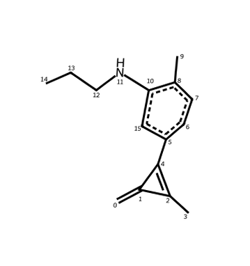 C=C1C(C)=C1c1ccc(C)c(NCCC)c1